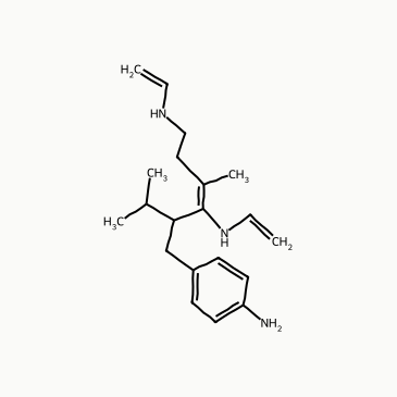 C=CNCC/C(C)=C(/NC=C)C(Cc1ccc(N)cc1)C(C)C